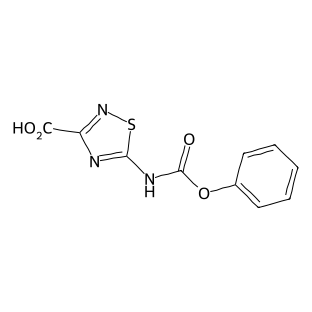 O=C(Nc1nc(C(=O)O)ns1)Oc1ccccc1